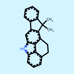 CC1(C)c2ccccc2-c2cc3[nH]c4cccc5c4c3c(c21)CC5